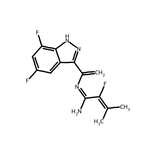 C=C(/N=C(/N)C(F)=C(C)C)c1n[nH]c2c(F)cc(F)cc12